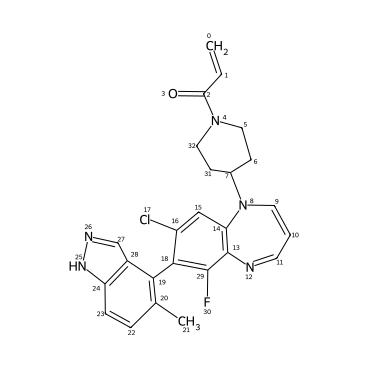 C=CC(=O)N1CCC(N2C=CC=Nc3c2cc(Cl)c(-c2c(C)ccc4[nH]ncc24)c3F)CC1